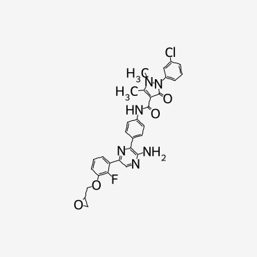 Cc1c(C(=O)Nc2ccc(-c3nc(-c4cccc(OCC5CO5)c4F)cnc3N)cc2)c(=O)n(-c2cccc(Cl)c2)n1C